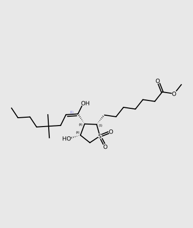 CCCCC(C)(C)C/C=C(/O)[C@H]1[C@@H](O)CS(=O)(=O)[C@H]1CCCCCCC(=O)OC